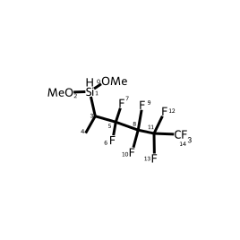 CO[SiH](OC)C(C)C(F)(F)C(F)(F)C(F)(F)C(F)(F)F